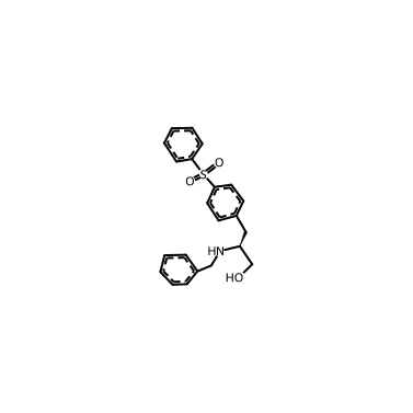 O=S(=O)(c1ccccc1)c1ccc(C[C@@H](CO)NCc2ccccc2)cc1